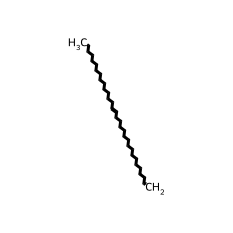 C=CCCCCCCCCCCCCCCC=CCCCCCCCCCCCCCC